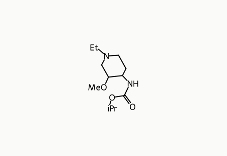 CCN1CCC(NC(=O)OC(C)C)C(OC)C1